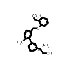 Cc1ccc(COc2ccccc2CC(=O)O)cc1-c1cccc([C@H](N)CO)c1